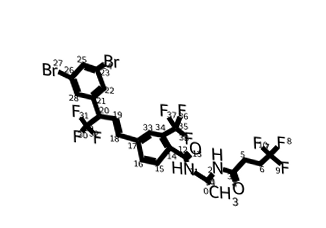 C[C@H](NC(=O)CCC(F)(F)F)NC(=O)c1ccc(C=CC(c2cc(Br)cc(Br)c2)C(F)(F)F)cc1C(F)(F)F